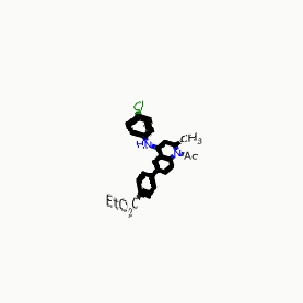 CCOC(=O)c1ccc(-c2ccc3c(c2)C(Nc2ccc(Cl)cc2)CC(C)N3C(C)=O)cc1